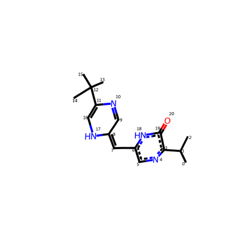 CC(C)c1ncc(/C=C2\C=NC(C(C)(C)C)=CN2)[nH]c1=O